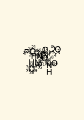 C=C1OCC/C1=C\[C@H](C[C@@H]1CCNC1=O)NC(=O)[C@H](Cc1ccc(F)cc1)NC(=O)c1ccc(-c2ccccc2)[nH]1